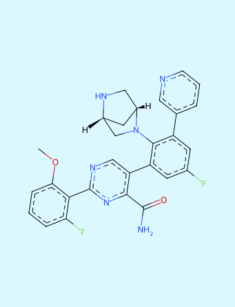 COc1cccc(F)c1-c1ncc(-c2cc(F)cc(-c3cccnc3)c2N2C[C@H]3C[C@@H]2CN3)c(C(N)=O)n1